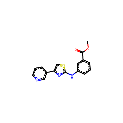 COC(=O)c1cccc(Nc2nc(-c3cccnc3)cs2)c1